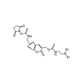 CCN(CC)CCNC(=S)OCc1cc2cc(CNC(=O)ON3C(=O)CCC3=O)ccc2oc1=O